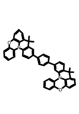 CC1(C)c2ccc(-c3ccc(-c4ccc5c(c4)C(C)(C)c4cccc6c4N5c4ccccc4O6)cc3)cc2N2c3ccccc3Oc3cccc1c32